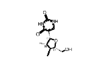 CC1[C@@H](CO)O[C@@H](c2c[nH]c(=O)[nH]c2=O)[C@H]1C